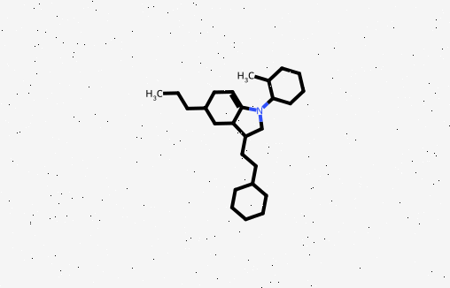 CCCC1CC=C2C(C1)C(CCC1CCCCC1)CN2C1CCCCC1C